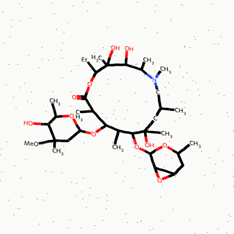 CCC1OC(=O)C(C)C(OC2CC(C)(OC)C(O)C(C)O2)C(C)C(OC2OC(C)CC3OC32)C(C)(O)CC(C)CN(C)C(C)C(O)C1(C)O